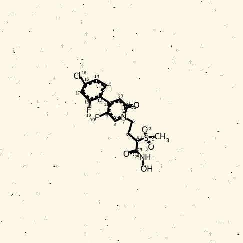 CS(=O)(=O)C(CCn1cc(F)c(-c2ccc(Cl)cc2F)cc1=O)C(=O)NO